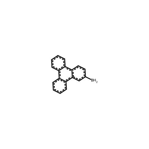 Bc1ccc2c3ccccc3c3ccccc3c2c1